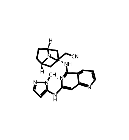 Cn1nccc1Nc1cc2ncccc2c(N[C@H]2C[C@H]3CC[C@@H](C2)N3CCC#N)n1